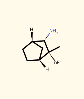 CCC[C@]1(C)[C@@H]2CC[C@@H](C2)[C@@H]1N